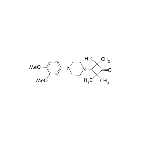 COc1ccc(N2CCN(C3C(C)(C)C(=O)C3(C)C)CC2)cc1OC